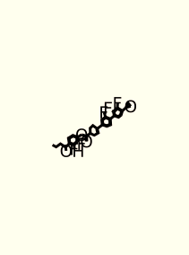 CCCC(O)c1ccc(OC(=O)C2CC=C(c3ccc(-c4ccc(C5CO5)c(F)c4F)c(F)c3)CC2)c(F)c1F